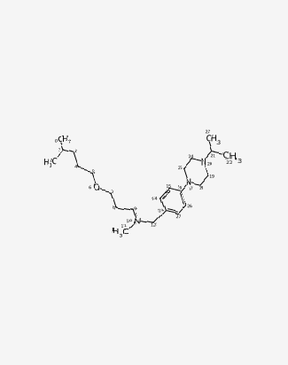 CC(C)CCCOCCCN(C)Cc1ccc(N2CCN(C(C)C)CC2)cc1